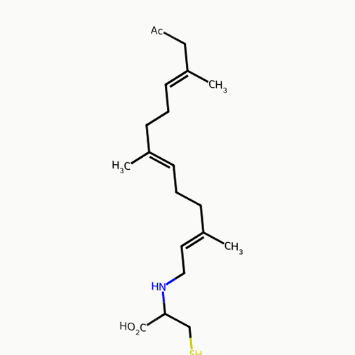 CC(=O)CC(C)=CCCC(C)=CCCC(C)=CCNC(CS)C(=O)O